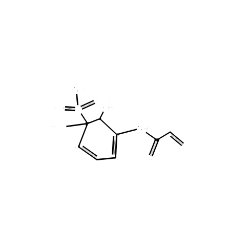 C=CC(=O)NC1=CC=CC(C)(S(N)(=O)=O)C1C